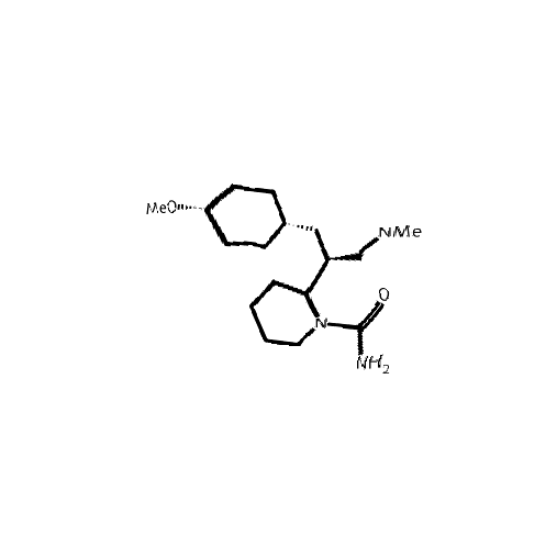 CNC[C@H](C[C@H]1CC[C@@H](OC)CC1)C1CCCCN1C(N)=O